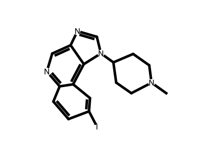 CN1CCC(n2cnc3cnc4ccc(I)cc4c32)CC1